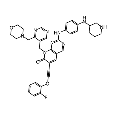 O=c1c(C#COc2ccccc2F)cc2cnc(Nc3ccc(NC4CCCNC4)cc3)nc2n1Cc1cncnc1CN1CCOCC1